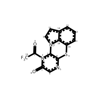 O=C(n1c2c(ncc1=O)Sc1cccc3ccn-2c13)C(F)(F)F